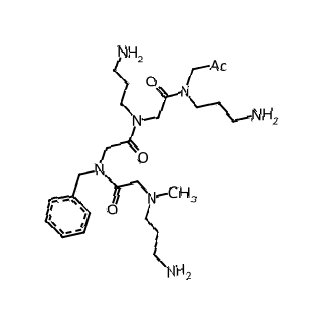 CC(=O)CN(CCCN)C(=O)CN(CCCN)C(=O)CN(Cc1ccccc1)C(=O)CN(C)CCCN